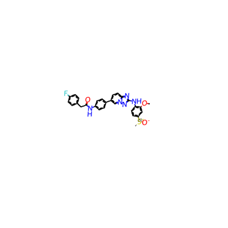 COc1cc([S@@+](C)[O-])ccc1Nc1nc2ccc(-c3ccc(NC(=O)Cc4ccc(F)cc4)cc3)cn2n1